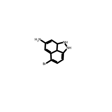 NC1=CC2NNC3=CC=C(Br)C(=C1)C32